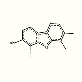 CCCc1ccc2c(oc3c(C)c(C)ccc32)c1I